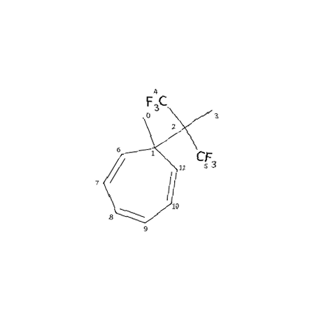 CC1(C(C)(C(F)(F)F)C(F)(F)F)C=CC=CC=C1